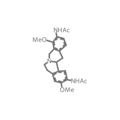 COc1cc2c(cc1NC(C)=O)C1Cc3ccc(NC(C)=O)c(OC)c3CN1CC2